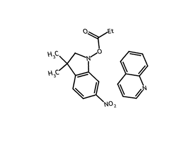 CCC(=O)ON1CC(C)(C)c2ccc([N+](=O)[O-])cc21.c1ccc2ncccc2c1